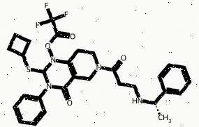 C[C@H](NCCC(=O)N1CCC2=C(C1)C(=O)N(c1ccccc1)C(SC1CCC1)N2OC(=O)C(F)(F)F)c1ccccc1